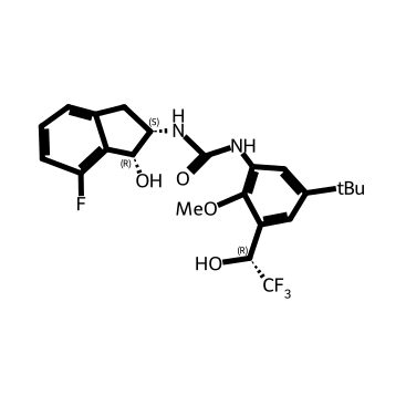 COc1c(NC(=O)N[C@H]2Cc3cccc(F)c3[C@H]2O)cc(C(C)(C)C)cc1[C@@H](O)C(F)(F)F